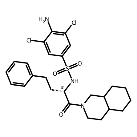 Nc1c(Cl)cc(S(=O)(=O)N[C@@H](CCc2ccccc2)C(=O)N2CCC3CCCCC3C2)cc1Cl